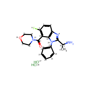 C[C@H](N)c1nc2ccc(F)c(C(=O)N3CCOCC3)c2n1-c1ccccc1.Cl.Cl